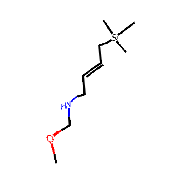 COCNCC=CC[Si](C)(C)C